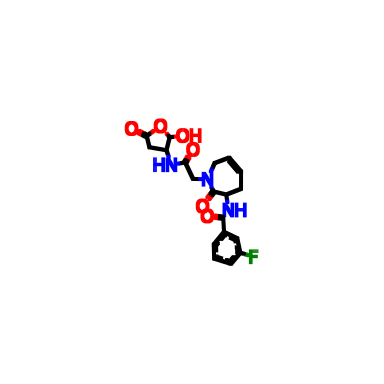 O=C(CN1CC=CCC(NC(=O)c2cccc(F)c2)C1=O)NC1CC(=O)OC1O